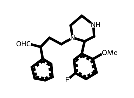 COc1ccc(F)cc1C1CNCCN1CCC(C=O)c1ccccc1